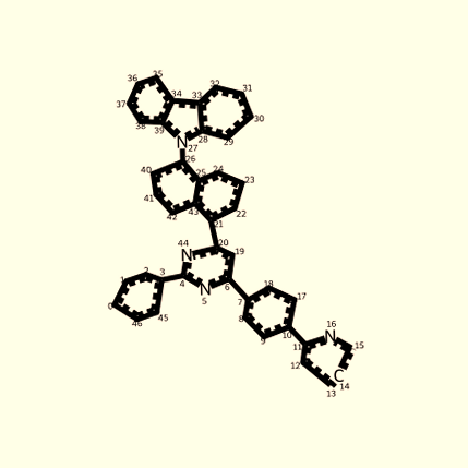 c1ccc(-c2nc(-c3ccc(-c4ccccn4)cc3)cc(-c3cccc4c(-n5c6ccccc6c6ccccc65)cccc34)n2)cc1